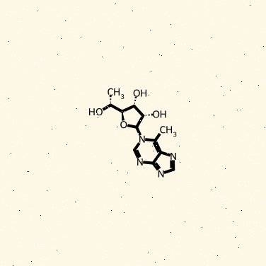 Cc1c2ncnc-2ncn1C1O[C@@H]([C@@H](C)O)[C@H](O)[C@@H]1O